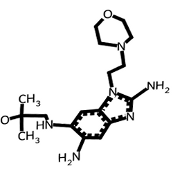 CC(C)(O)CNc1cc2c(cc1N)nc(N)n2CCN1CCOCC1